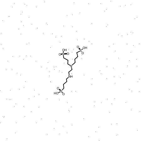 O=S(=O)(O)CCCCNCCN(CCCCS(=O)(=O)O)CCCS(=O)(=O)O